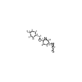 Cc1ccc(COc2ccc(N=C=S)cn2)cc1